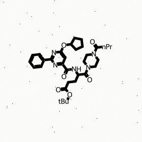 CCCC(=O)N1CCN(C(=O)C(CCC(=O)OC(C)(C)C)NC(=O)c2cc(OC3CCCC3)nc(-c3ccccc3)n2)CC1